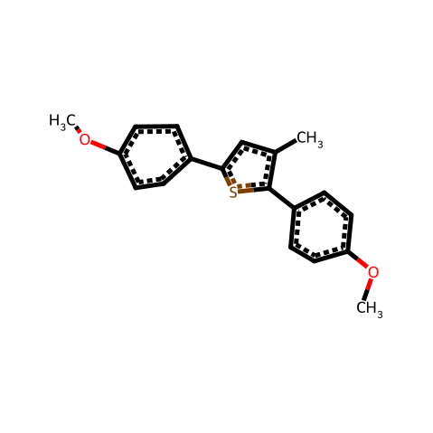 COc1ccc(-c2cc(C)c(-c3ccc(OC)cc3)s2)cc1